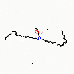 CCCCC/C=C\C/C=C\CCCCCCCCCCN(CCCCCCCCCC/C=C\C/C=C\CCCCC)CCC(=O)OCC